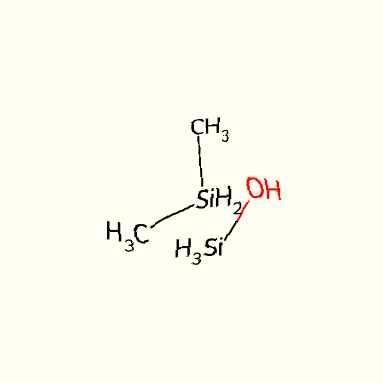 C[SiH2]C.O[SiH3]